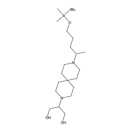 CC(CCCO[Si](C)(C)C(C)(C)C)N1CCC2(CC1)CCN(C(CO)CO)CC2